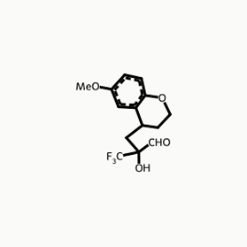 COc1ccc2c(c1)C(CC(O)(C=O)C(F)(F)F)CCO2